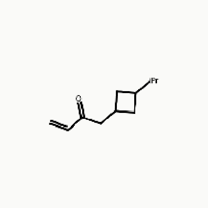 C=CC(=O)CC1CC(C(C)C)C1